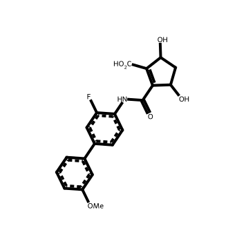 COc1cccc(-c2ccc(NC(=O)C3=C(C(=O)O)C(O)CC3O)c(F)c2)c1